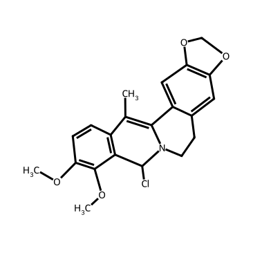 COc1ccc2c(c1OC)C(Cl)N1CCc3cc4c(cc3C1=C2C)OCO4